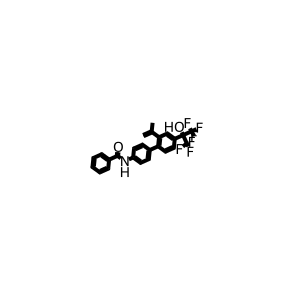 C=C(C)c1cc(C(O)(C(F)(F)F)C(F)(F)F)ccc1-c1ccc(NC(=O)c2ccccc2)cc1